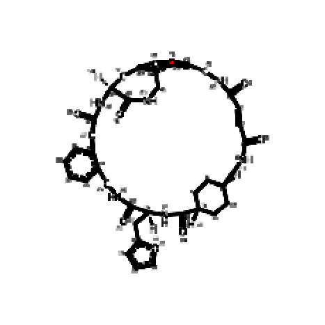 O=C1/C=C/C(=O)N[C@H]2CC[C@H](CC2)C(=O)N[C@@H](Cc2ccco2)C(=O)NCc2ccccc2CC(=O)N[C@H]2Cc3ccc(cc3CNC2=O)CN1